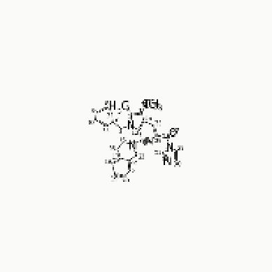 Cc1c(C)n(Cc2ccccc2)c2c(N3CCc4ccccc4C3)nc(C(=O)n3ccnc3)cc12.Cl